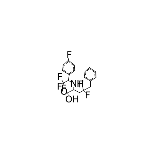 O=C(O)C(CC(F)(F)Cc1ccccc1)NC(c1ccc(F)cc1)C(F)(F)F